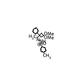 COC1(OC)CC(C(C)=NNS(=O)(=O)c2ccc(C)cc2)(c2ccccc2)C1